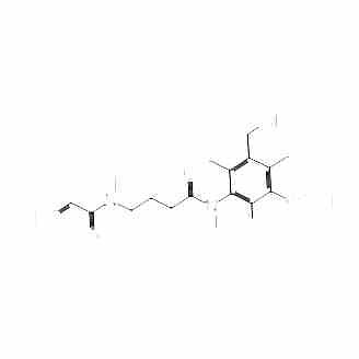 C=CC(=O)NCCCC(=O)Nc1c(I)c(CO)c(I)c(C(=O)O)c1I